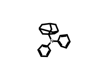 c1ccc(N(c2ccccc2)C23CC4CC(CC(C4)C2)C3)cc1